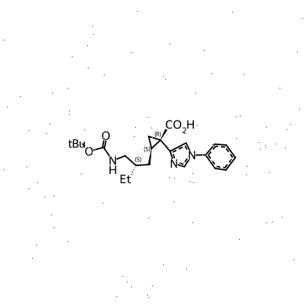 CC[C@H](CNC(=O)OC(C)(C)C)C[C@H]1C[C@]1(C(=O)O)c1cn(-c2ccccc2)cn1